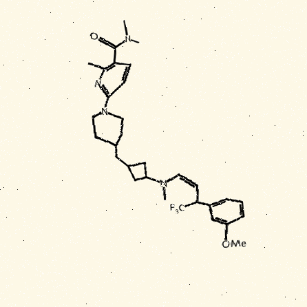 COc1cccc(C(/C=C\N(C)C2CC(CC3CCN(c4ccc(C(=O)N(C)C)c(C)n4)CC3)C2)C(F)(F)F)c1